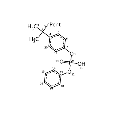 CCCCCC(C)(C)c1ccc(OP(=O)(O)Oc2ccccc2)cc1